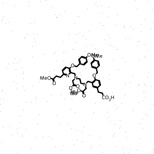 COC(=O)CCc1ccc(OCc2ccc(OC)cc2)c(CN(CCN(CC(=O)OC(C)(C)C)Cc2cc(CCC(=O)O)ccc2OCc2ccc(OC)cc2)CC(=O)OC(C)(C)C)n1